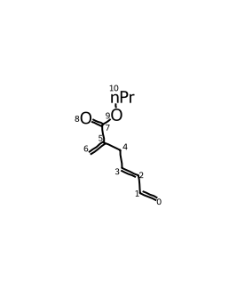 C=CC=CCC(=C)C(=O)OCCC